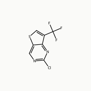 FC(F)(F)c1csc2cnc(Cl)nc12